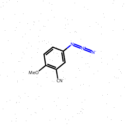 COc1ccc(N=[N+]=[N-])cc1C#N